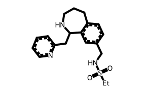 CCS(=O)(=O)NCc1ccc2c(c1)C(Cc1ccccn1)NCCC2